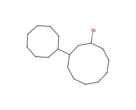 BrC1CCCCCCCC(C2CCCCCCC2)C1